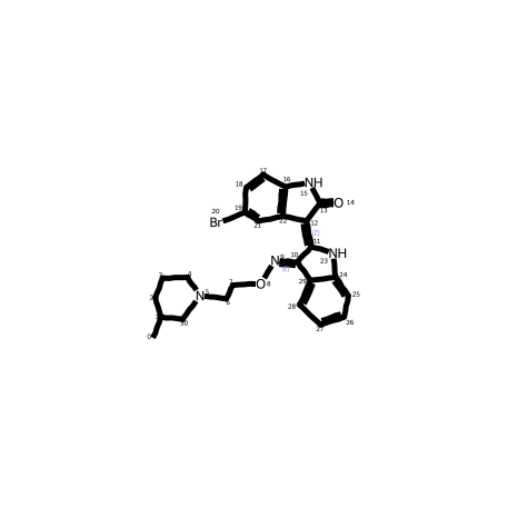 CC1CCCN(CCO/N=C2/C(=C3/C(=O)Nc4ccc(Br)cc43)Nc3ccccc32)C1